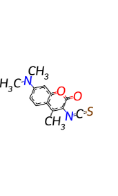 Cc1c(N=C=S)c(=O)oc2cc(N(C)C)ccc12